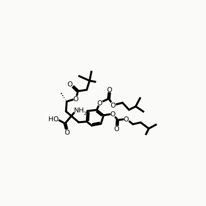 CC(C)CCOC(=O)Oc1ccc(CC(N)(C[C@H](C)OC(=O)CC(C)(C)C)C(=O)O)cc1OC(=O)OCCC(C)C